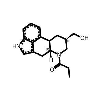 CCC(=O)N1C[C@H](CO)CC2c3cccc4[nH]cc(c34)C[C@H]21